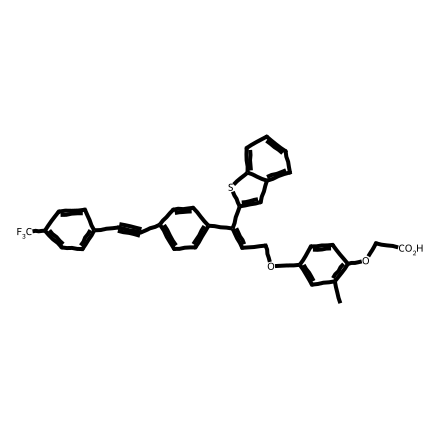 Cc1cc(OC/C=C(/c2ccc(C#Cc3ccc(C(F)(F)F)cc3)cc2)c2cc3ccccc3s2)ccc1OCC(=O)O